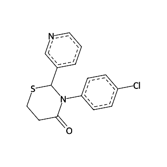 O=C1CCSC(c2cccnc2)N1c1ccc(Cl)cc1